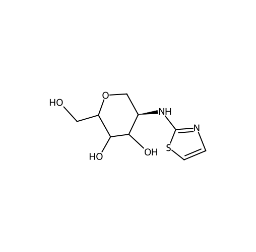 OCC1OC[C@@H](Nc2nccs2)C(O)C1O